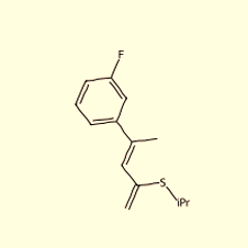 C=C(/C=C(\C)c1cccc(F)c1)SC(C)C